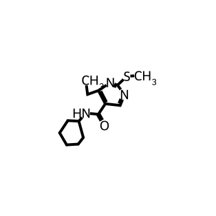 CCc1nc(SC)ncc1C(=O)NC1CCCCC1